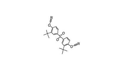 CC(C)(C)c1cc(S(=O)(=O)c2ccc(OC#N)c(C(C)(C)C)c2)ccc1OC#N